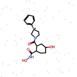 O=C(NO)C1CCC(O)CC1C(=O)N1CC[C@H](c2ccccc2)C1